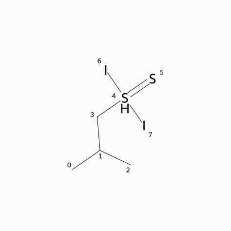 CC(C)C[SH](=S)(I)I